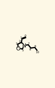 C=CC1COCN1CCCC